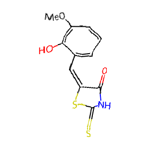 COc1cccc(/C=C2/SC(=S)NC2=O)c1O